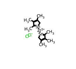 CC1=C(C)[C](C)=[Sn]([Zr+2][Sn]2=[C](C)C(C)=C(C)[CH2]2)[CH2]1.[Cl-].[Cl-]